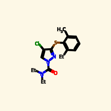 CCc1cccc(C)c1Sc1nn(C(=O)N(CC)CC)cc1Cl